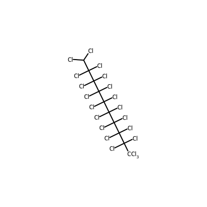 ClC(Cl)C(Cl)(Cl)C(Cl)(Cl)C(Cl)(Cl)C(Cl)(Cl)C(Cl)(Cl)C(Cl)(Cl)C(Cl)(Cl)C(Cl)(Cl)C(Cl)(Cl)Cl